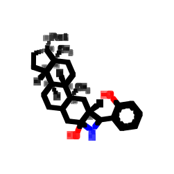 CCC[C@@H](C)[C@H]1CC[C@H]2[C@@H]3CCC4CC5(O)NC(c6ccccc6O)[C@H]5C[C@]4(C)[C@H]3CC[C@]12C